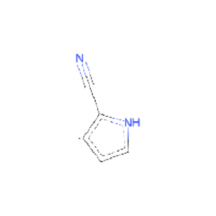 N#Cc1[c]cc[nH]1